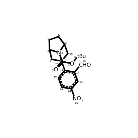 CC(C)(C)OC(=O)N1C2CCC1CN(c1ccc([N+](=O)[O-])cc1C=O)C2